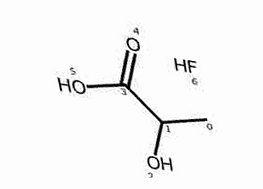 CC(O)C(=O)O.F